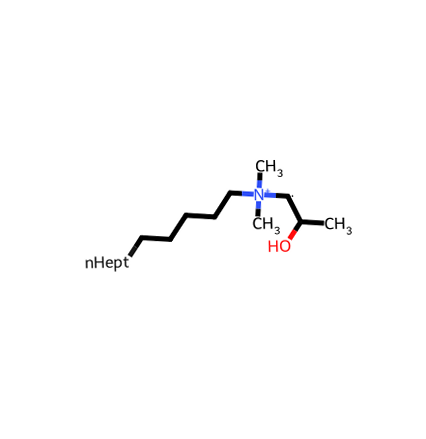 CCCCCCCCCCCC[N+](C)(C)[CH]C(C)O